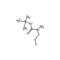 [C]CCN(C)C(=O)OC(C)(C)C